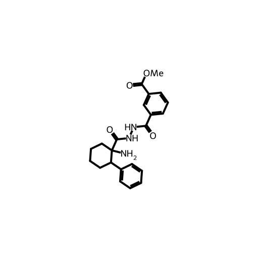 COC(=O)c1cccc(C(=O)NNC(=O)C2(N)CCCCC2c2ccccc2)c1